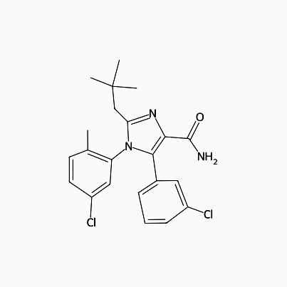 Cc1ccc(Cl)cc1-n1c(CC(C)(C)C)nc(C(N)=O)c1-c1cccc(Cl)c1